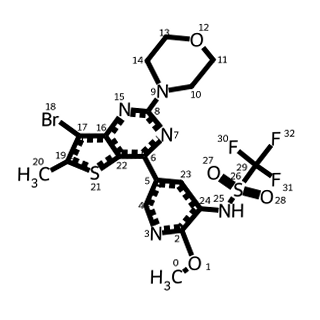 COc1ncc(-c2nc(N3CCOCC3)nc3c(Br)c(C)sc23)cc1NS(=O)(=O)C(F)(F)F